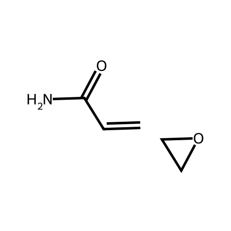 C1CO1.C=CC(N)=O